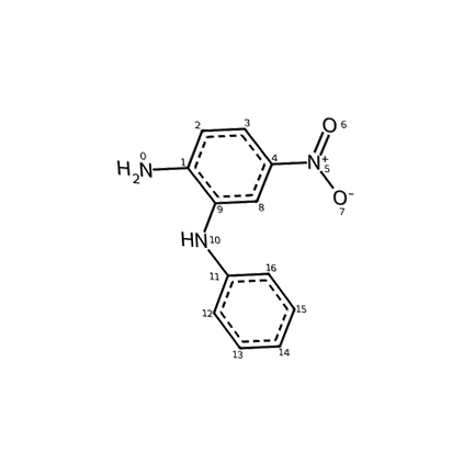 Nc1ccc([N+](=O)[O-])cc1Nc1ccccc1